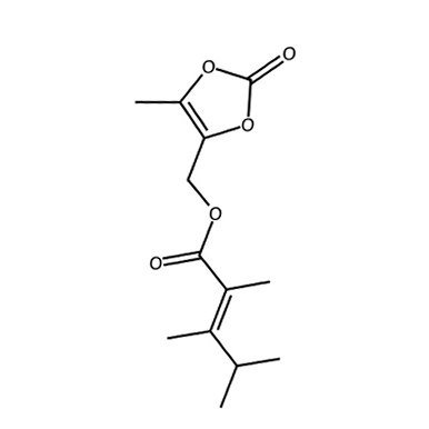 C/C(C(=O)OCc1oc(=O)oc1C)=C(/C)C(C)C